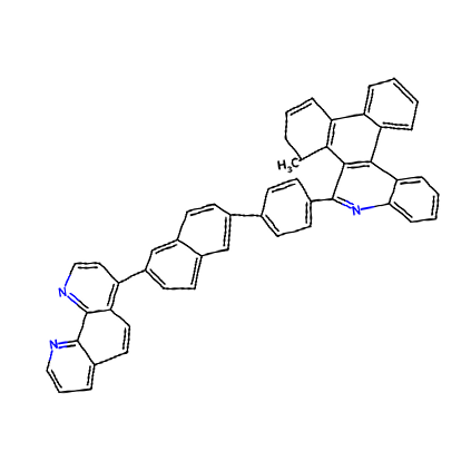 CC1CC=Cc2c1c1c(-c3ccc(-c4ccc5cc(-c6ccnc7c6ccc6cccnc67)ccc5c4)cc3)nc3ccccc3c1c1ccccc21